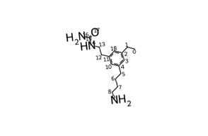 CCc1cc(CCCCN)cc(CCNC(N)=O)c1